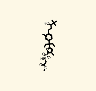 CCC(CC)(c1ccc(CCC(O)C(C)(C)C)c(C)c1)c1cc(C)c(S(=O)(=O)NCC(=O)OC)s1